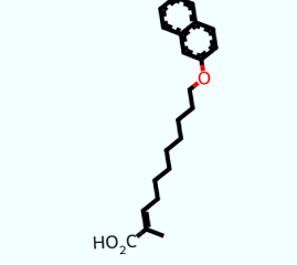 CC(=CCCCCCCCCOc1ccc2ccccc2c1)C(=O)O